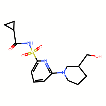 O=C(NS(=O)(=O)c1cccc(N2CCCC(CO)C2)n1)C1CC1